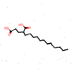 CCCCCCCCCCCCC(CCC(=O)O)C(=O)O